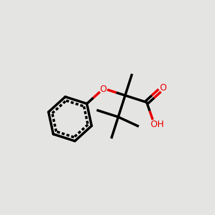 CC(C)(C)C(C)(Oc1ccccc1)C(=O)O